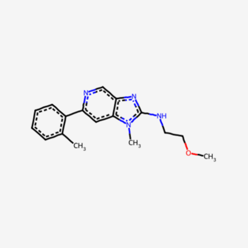 COCCNc1nc2cnc(-c3ccccc3C)cc2n1C